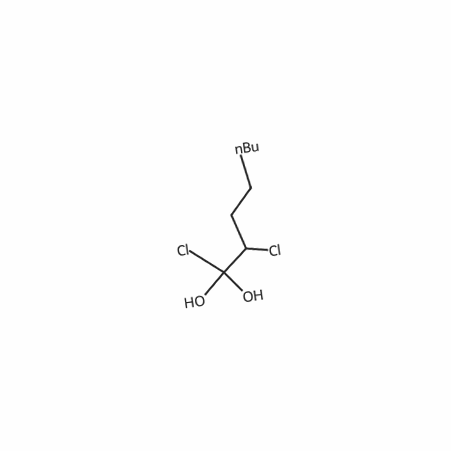 CCCCCCC(Cl)C(O)(O)Cl